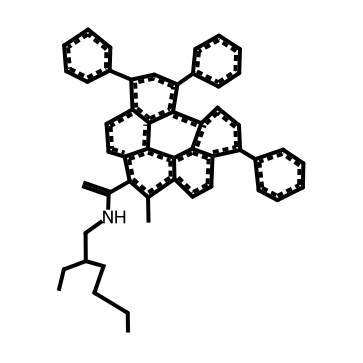 C=C(NCC(CC)CCCC)c1c(C)c2ccc3c(-c4ccccc4)ccc4c5c(-c6ccccc6)cc(-c6ccccc6)c6ccc1c(c65)c2c34